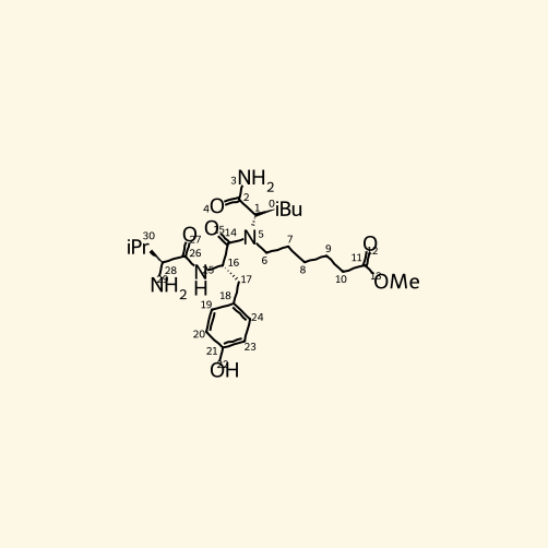 CC[C@H](C)[C@@H](C(N)=O)N(CCCCCC(=O)OC)C(=O)[C@H](Cc1ccc(O)cc1)NC(=O)[C@@H](N)C(C)C